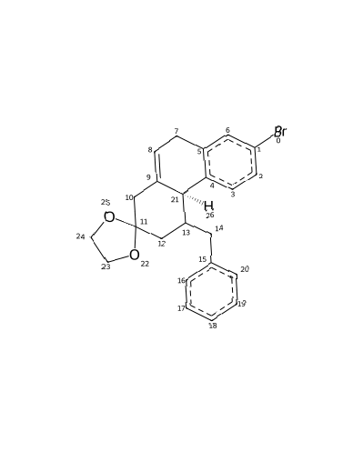 Brc1ccc2c(c1)CC=C1CC3(CC(Cc4ccccc4)[C@@H]12)OCCO3